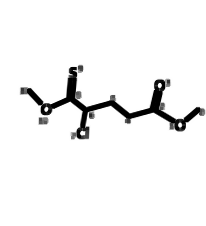 COC(=O)CCC(Cl)C(=S)OC